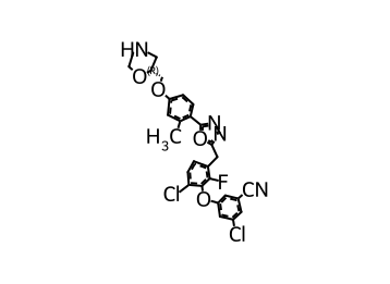 Cc1cc(OC[C@H]2CNCCO2)ccc1-c1nnc(Cc2ccc(Cl)c(Oc3cc(Cl)cc(C#N)c3)c2F)o1